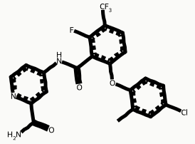 Cc1cc(Cl)ccc1Oc1ccc(C(F)(F)F)c(F)c1C(=O)Nc1ccnc(C(N)=O)c1